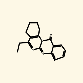 CCc1nc2nc3ccccc3c(=O)n2c2c1CCCC2